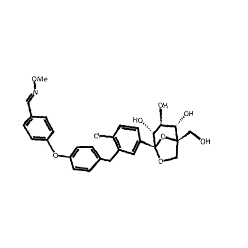 CON=Cc1ccc(Oc2ccc(Cc3cc([C@]45OC[C@](CO)(O4)[C@@H](O)[C@H](O)[C@H]5O)ccc3Cl)cc2)cc1